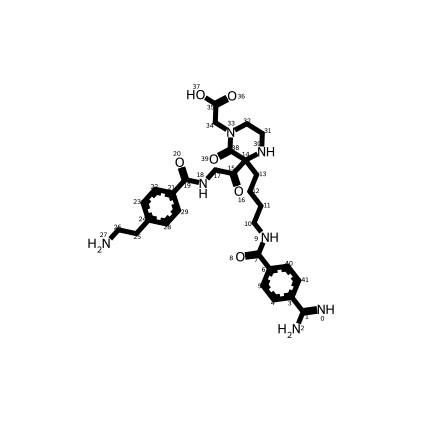 N=C(N)c1ccc(C(=O)NCCCCC2(C(=O)CNC(=O)c3ccc(CCN)cc3)NCCN(CC(=O)O)C2=O)cc1